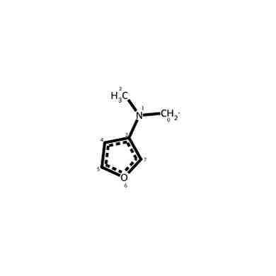 [CH2]N(C)c1ccoc1